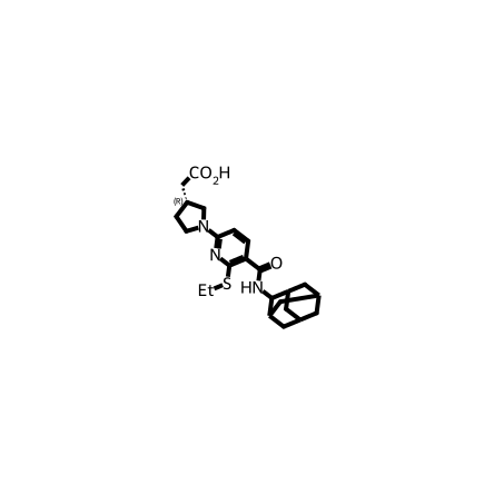 CCSc1nc(N2CC[C@H](CC(=O)O)C2)ccc1C(=O)NC1C2CC3CC(C2)CC1C3